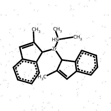 CC1=Cc2ccccc2[CH]1[Zr]([CH]1C(C)=Cc2ccccc21)[SiH](C)C